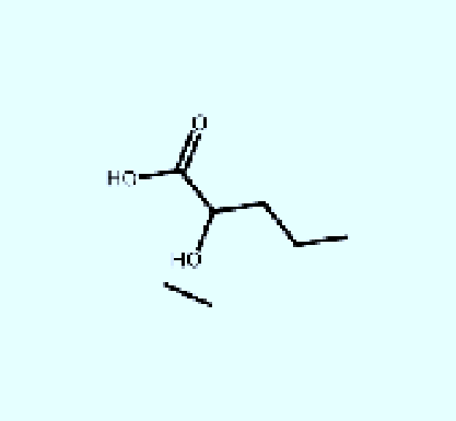 CC.CCCC(O)C(=O)O